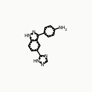 Nc1ccc(-c2n[nH]c3ccc(-c4ncn[nH]4)cc23)cc1